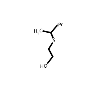 CC(C)C(C)SCCO